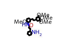 COc1ccc(/C=C/c2cc(OC)c(OC)c(OC)c2)cc1NC(=O)/C=C/c1ccccc1N